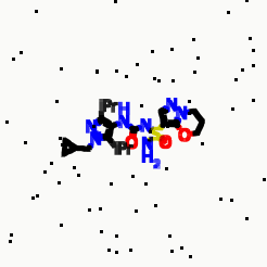 CC(C)c1nn(CC2CC2)c(C(C)C)c1NC(=O)N=S(N)(=O)c1cnn2c1OCCC2